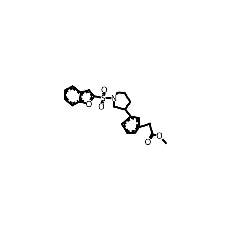 COC(=O)Cc1cccc(C2CCCN(S(=O)(=O)c3cc4ccccc4o3)C2)c1